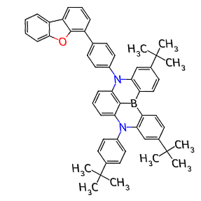 CC(C)(C)c1ccc(N2c3cc(C(C)(C)C)ccc3B3c4ccc(C(C)(C)C)cc4N(c4ccc(-c5cccc6c5oc5ccccc56)cc4)c4cccc2c43)cc1